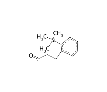 C[Si](C)(C)c1ccccc1CC[C]=O